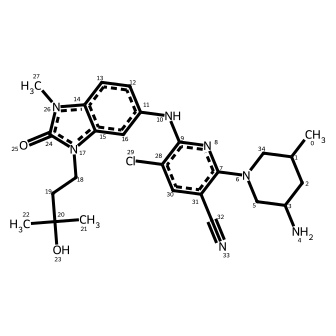 CC1CC(N)CN(c2nc(Nc3ccc4c(c3)n(CCC(C)(C)O)c(=O)n4C)c(Cl)cc2C#N)C1